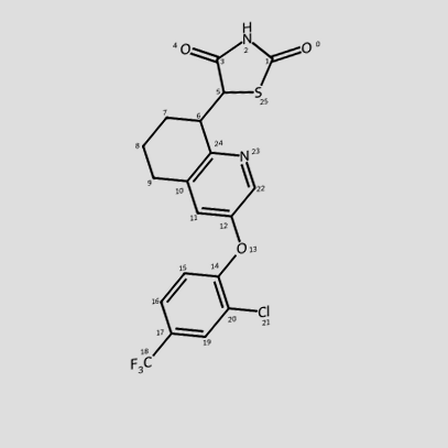 O=C1NC(=O)C(C2CCCc3cc(Oc4ccc(C(F)(F)F)cc4Cl)cnc32)S1